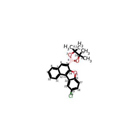 CC1(C)OB(c2cc3ccccc3c3c2oc2ccc(Cl)cc23)OC1(C)C